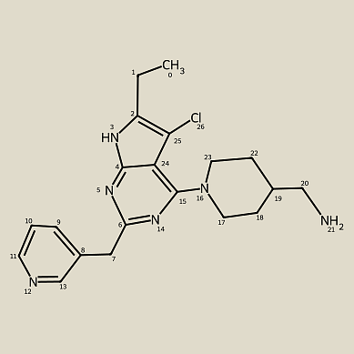 CCc1[nH]c2nc(Cc3cccnc3)nc(N3CCC(CN)CC3)c2c1Cl